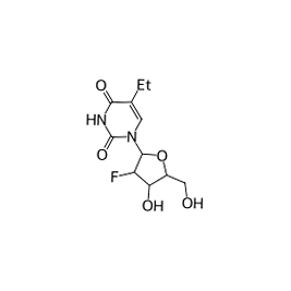 CCc1cn(C2OC(CO)C(O)C2F)c(=O)[nH]c1=O